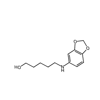 OCCCCCNc1ccc2c(c1)OCO2